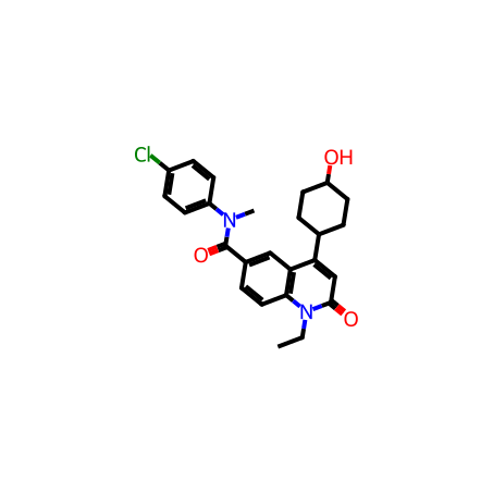 CCn1c(=O)cc(C2CCC(O)CC2)c2cc(C(=O)N(C)c3ccc(Cl)cc3)ccc21